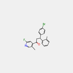 Cc1cnc(F)cc1C(=O)CC(c1ccc(Br)cc1)c1ccccc1C